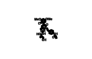 C=CC(=O)Nc1ccc(CCn2c(=O)c(-c3cc(OC)cc(OC)c3Cl)cc3cnc(NC(O)C(C)CO)nc32)cc1